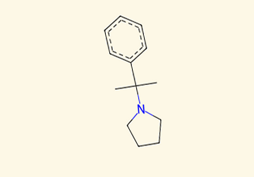 CC(C)(c1ccccc1)N1CCCC1